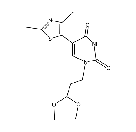 COC(CCn1cc(-c2sc(C)nc2C)c(=O)[nH]c1=O)OC